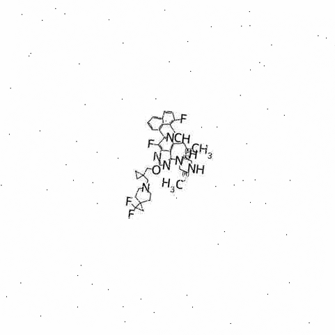 C#Cc1c(F)ccc2cccc(-c3nc4c5c(nc(OCC6(CN7CCC8(CC7)CC8(F)F)CC6)nc5c3F)N3C[C@@H](CC)NC[C@@H]3[C@@H](C)C4)c12